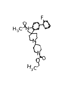 CCOC(=O)N1CCC(N2CCC3(CC2)CN(C(C)=O)c2ccc(-c4ccccc4F)cc23)CC1